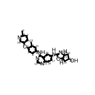 Cc1ccc(Oc2ccc(Nc3ncnc4ccc(NC5=N[C@@H]6C[C@@H](O)C[C@@H]6O5)cc34)cc2C)cn1